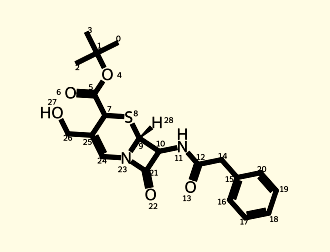 CC(C)(C)OC(=O)C1S[C@@H]2C(NC(=O)Cc3ccccc3)C(=O)N2C=C1CO